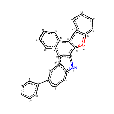 c1ccc(-c2ccc3[nH]c4c5oc6ccccc6c5c5ccccc5c4c3c2)cc1